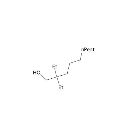 CCCCCCCCC(CC)(CC)CO